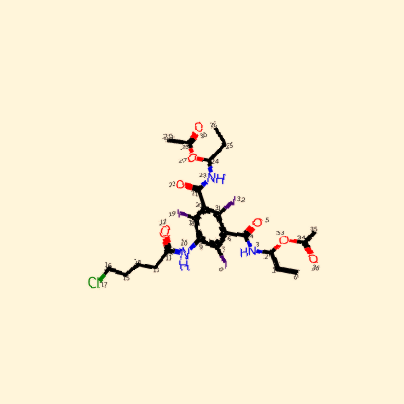 CCC(NC(=O)c1c(I)c(NC(=O)CCCCCl)c(I)c(C(=O)NC(CC)OC(C)=O)c1I)OC(C)=O